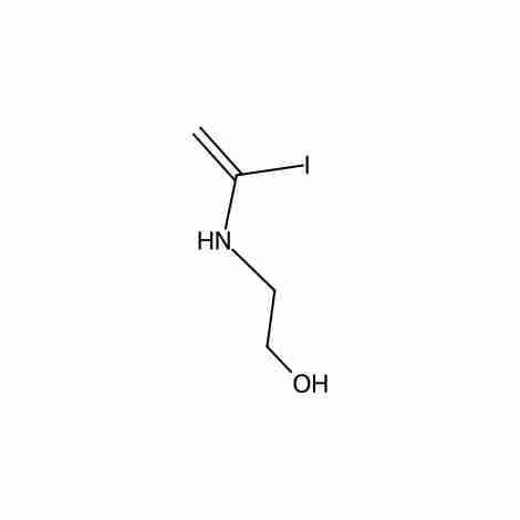 C=C(I)NCCO